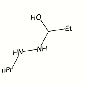 [CH2]CCNNC(O)CC